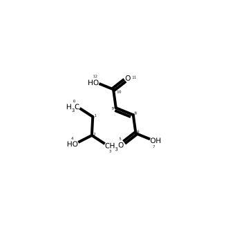 CCC(C)O.O=C(O)C=CC(=O)O